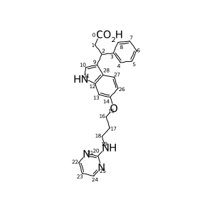 O=C(O)CC(c1ccccc1)c1c[nH]c2cc(OCCCNc3ncccn3)ccc12